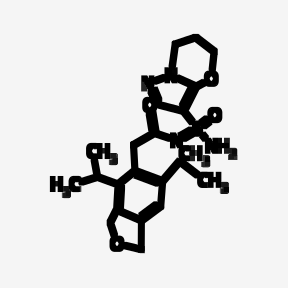 CC(C)c1cc2c(c(C(C)C)c1CC(=O)N=S(N)(=O)c1cnn3c1OCCC3)COC2